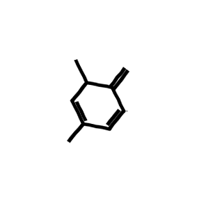 C=C1[C]=CC(C)=CC1C